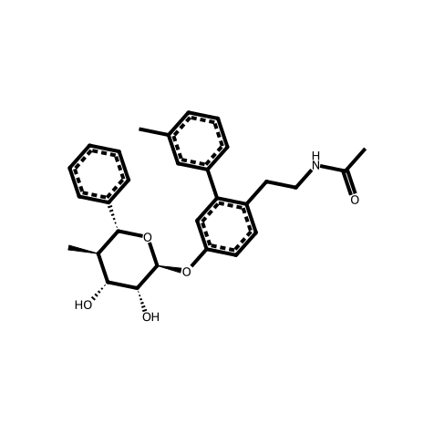 CC(=O)NCCc1ccc(O[C@@H]2O[C@@H](c3ccccc3)[C@H](C)[C@@H](O)[C@H]2O)cc1-c1cccc(C)c1